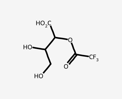 O=C(O)C(OC(=O)C(F)(F)F)C(O)CO